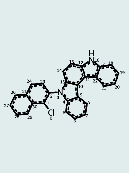 Clc1c(-n2c3ccccc3c3c4c(ccc32)[nH]c2ccccc24)ccc2ccccc12